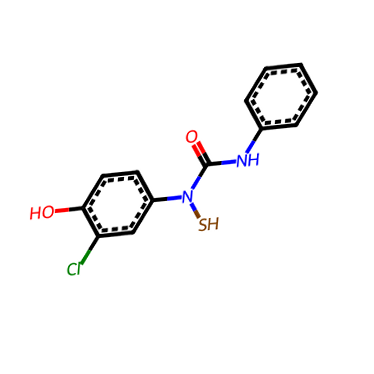 O=C(Nc1ccccc1)N(S)c1ccc(O)c(Cl)c1